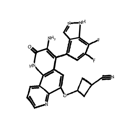 N#CC1CC(Oc2cc3c(-c4cc(F)c(F)c5[nH]ncc45)c(N)c(=O)[nH]c3c3cccnc23)C1